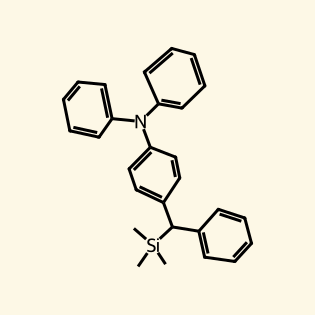 C[Si](C)(C)C(c1ccccc1)c1ccc(N(c2ccccc2)c2ccccc2)cc1